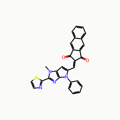 Cn1c(-c2nccs2)nc2c1cc(C=C1C(=O)c3cc4ccccc4cc3C1=O)n2-c1ccccc1